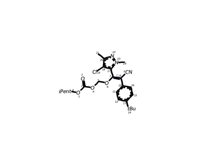 CCCC(C)OC(=O)OCO/C(=C(/C#N)c1ccc(C(C)(C)C)cc1)c1c(Cl)c(C)nn1C